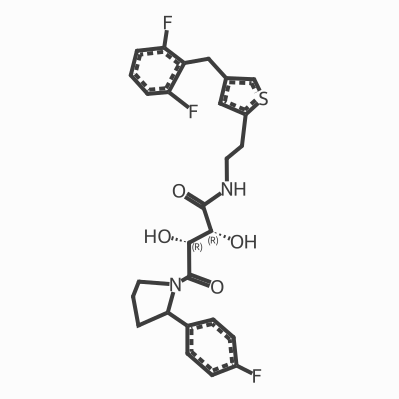 O=C(NCCc1cc(Cc2c(F)cccc2F)cs1)[C@H](O)[C@@H](O)C(=O)N1CCCC1c1ccc(F)cc1